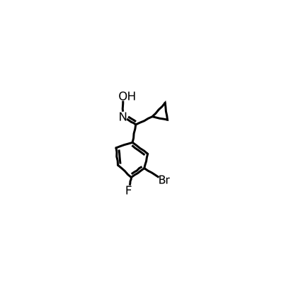 ON=C(c1ccc(F)c(Br)c1)C1CC1